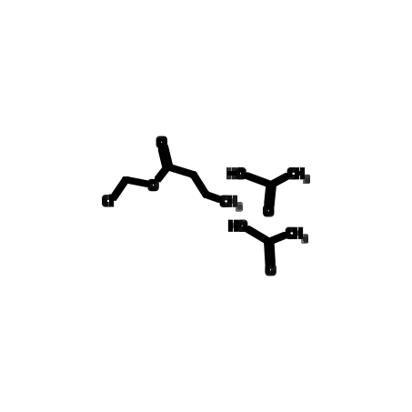 CC(=O)O.CC(=O)O.CCCC(=O)OCCl